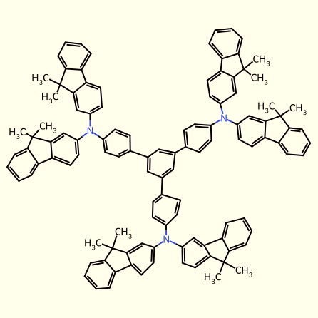 CC1(C)c2ccccc2-c2cc(N(c3ccc(-c4cc(-c5ccc(N(c6ccc7c(c6)C(C)(C)c6ccccc6-7)c6ccc7c(c6)C(C)(C)c6ccccc6-7)cc5)cc(-c5ccc(N(c6ccc7c(c6)C(C)(C)c6ccccc6-7)c6ccc7c(c6)C(C)(C)c6ccccc6-7)cc5)c4)cc3)c3ccc4c(c3)C(C)(C)c3ccccc3-4)ccc21